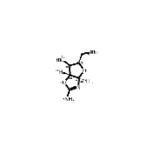 CC(C)(C)C[C@H]1O[C@H]2N=C(N)O[C@@H]2C1C(C)(C)C